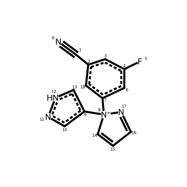 N#Cc1cc(F)cc([N+]2(c3cn[nH]c3)C=CC=N2)c1